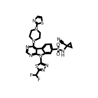 N#CC1(NS(=O)(=O)c2ccc3c4c(N5CCN(c6nccs6)CC5)ncnc4n(-c4nnc(C(F)F)s4)c3c2)CC1